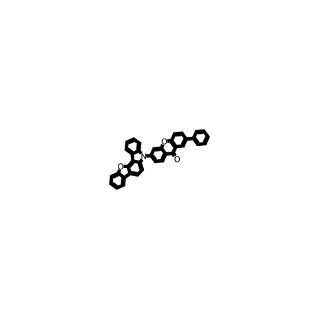 O=c1c2ccc(-n3c4ccccc4c4c5oc6ccccc6c5ccc43)cc2oc2ccc(-c3ccccc3)cc12